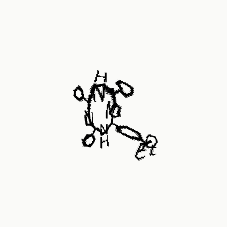 CCC(=O)c1ccc(-c2c3nc(c(-c4ccccc4)c4ccc([nH]4)c(-c4ccccc4)c4nc(c(-c5ccccc5)c5ccc2[nH]5)CC4)C=C3)cc1